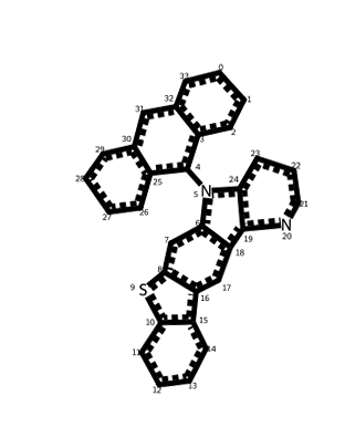 c1ccc2c(-n3c4cc5sc6ccccc6c5cc4c4ncccc43)c3ccccc3cc2c1